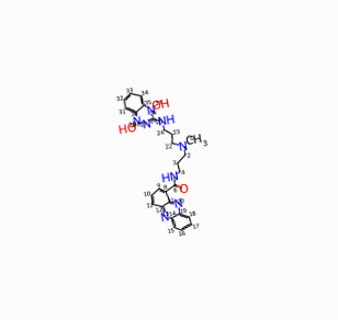 CN(CCCNC(=O)c1cccc2nc3ccccc3nc12)CCCNC1=NN(O)c2ccccc2N1O